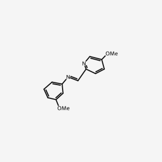 COc1ccc(C=Nc2cccc(OC)c2)nc1